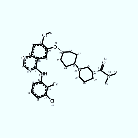 COc1cc2ncnc(Nc3cccc(Cl)c3F)c2cc1O[C@H]1CC[C@H](N2CCC[C@@H](C(=O)N(C)C)C2)CC1